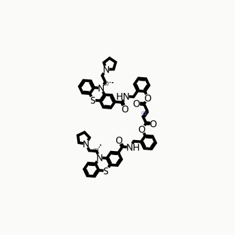 C[C@@H](CN1CCCC1)N1c2ccccc2Sc2ccc(C(=O)NCc3ccccc3OC(=O)/C=C/C(=O)Oc3ccccc3CNC(=O)c3ccc4c(c3)N([C@@H](C)CN3CCCC3)c3ccccc3S4)cc21